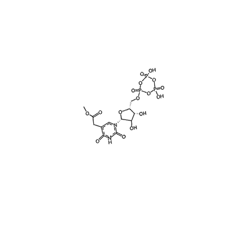 COC(=O)Cc1cn([C@@H]2O[C@H](COP3(=O)OP(=O)(O)OP(=O)(O)O3)[C@H](O)C2O)c(=O)[nH]c1=O